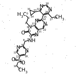 CCCn1c(=O)c(NCc2ncc(S(=O)(=O)CC)cn2)nc2cnc(-c3c(CC)ncnc3C3CC3)nc21